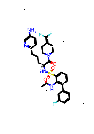 CC(=O)Nc1c(-c2cccc(F)c2)cccc1S(=O)(=O)N[C@@H](CCCc1ccc(N)cn1)C(=O)N1CCC(=C(F)F)CC1